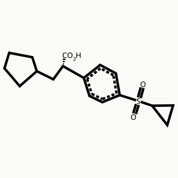 O=C(O)[C@@H](CC1CCCC1)c1ccc(S(=O)(=O)C2CC2)cc1